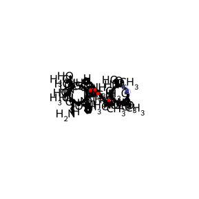 COc1cc2cc(c1Cl)N(C)C(=O)C[C@H](OC(=O)[C@H](C)N(C)C(=O)CCSSCCCN[C@H](Cc1ccccc1)C(=O)N[C@H]1CSSC[C@@H](C(=O)N[C@H](CO)[C@@H](C)O)NC(=O)[C@H]([C@@H](C)O)NC(=O)[C@H](CCCCN)NC(=O)[C@@H](Cc3c[nH]c4ccccc34)NC(=O)[C@H](Cc3ccccc3)NC1=O)[C@]1(C)O[C@H]1[C@H](C)CCC(I)(NC(=O)O)[C@H](OC)/C=C/C=C(\C)C2